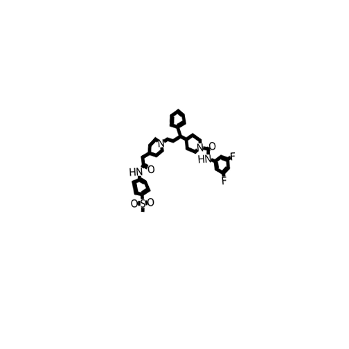 CS(=O)(=O)c1ccc(NC(=O)CC2CCN(CCC(c3ccccc3)C3CCN(C(=O)Nc4cc(F)cc(F)c4)CC3)CC2)cc1